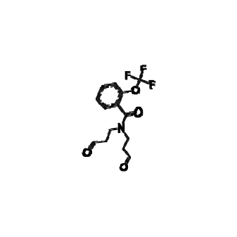 O=CCCN(CCC=O)C(=O)c1ccccc1OC(F)(F)F